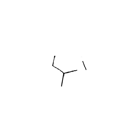 [CH2]C(C)CC.[CH2]CC